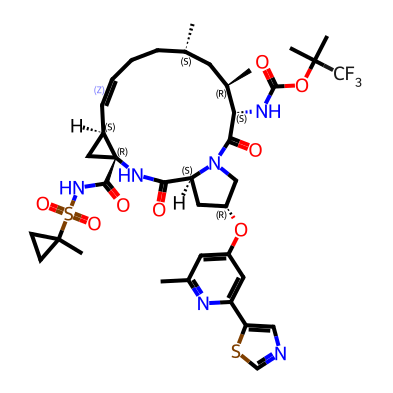 Cc1cc(O[C@@H]2C[C@H]3C(=O)N[C@]4(C(=O)NS(=O)(=O)C5(C)CC5)C[C@H]4/C=C\CC[C@H](C)C[C@@H](C)[C@H](NC(=O)OC(C)(C)C(F)(F)F)C(=O)N3C2)cc(-c2cncs2)n1